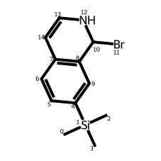 C[Si](C)(C)c1ccc2c(c1)C(Br)NC=C2